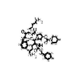 NCCCC[C@H](NC(=O)[C@@H]1C[C@@H](OC(=O)N2CCCCC2)CN1C(=O)C(CCCN)NC(=O)OCc1ccccc1)C(=O)c1nc2ccccc2o1